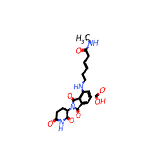 CNC(=O)CCCCCNc1cccc2c1C(=O)N(C1CCC(=O)NC1=O)C2=O.O=CO